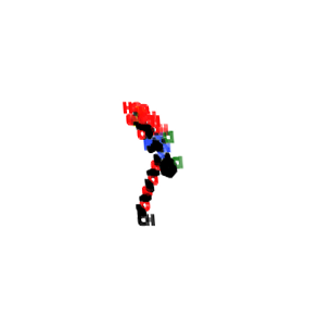 C#CCOCCOCCOCCOCCN(Cc1ccccc1Cl)c1nc(Cl)nc2c1cnn2[C@@H]1O[C@H](CS(=O)(=O)CP(=O)(O)O)[C@@H](O)[C@H]1O